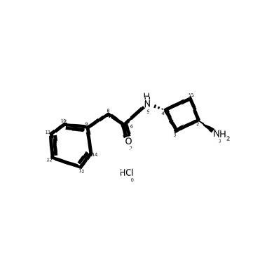 Cl.N[C@H]1C[C@H](NC(=O)Cc2ccccc2)C1